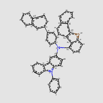 c1ccc(-n2c3ccccc3c3cc(N(c4ccc(-c5ccc6ccccc6c5)cc4)c4cccc5sc6c7ccccc7ccc6c45)ccc32)cc1